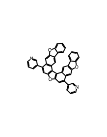 c1cncc(-c2cc3oc4cc(-c5cccnc5)c5cc6oc7ccccc7c6cc5c4c3c3cc4c(cc23)oc2ccccc24)c1